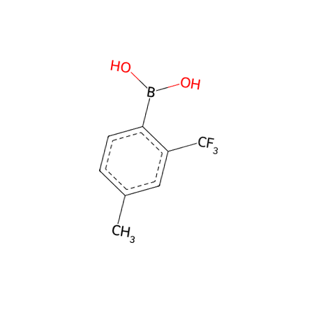 Cc1ccc(B(O)O)c(C(F)(F)F)c1